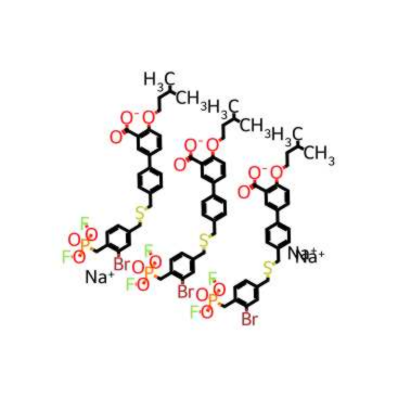 CC(C)CCOc1ccc(-c2ccc(CSCc3ccc(CP(=O)(OF)OF)c(Br)c3)cc2)cc1C(=O)[O-].CC(C)CCOc1ccc(-c2ccc(CSCc3ccc(CP(=O)(OF)OF)c(Br)c3)cc2)cc1C(=O)[O-].CC(C)CCOc1ccc(-c2ccc(CSCc3ccc(CP(=O)(OF)OF)c(Br)c3)cc2)cc1C(=O)[O-].[Na+].[Na+].[Na+]